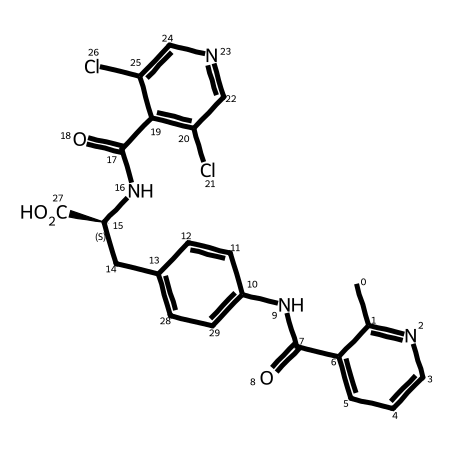 Cc1ncccc1C(=O)Nc1ccc(C[C@H](NC(=O)c2c(Cl)cncc2Cl)C(=O)O)cc1